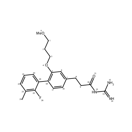 COCCCOc1cc(CCC(=O)NC(=N)N)ccc1-c1cccc(C)c1F